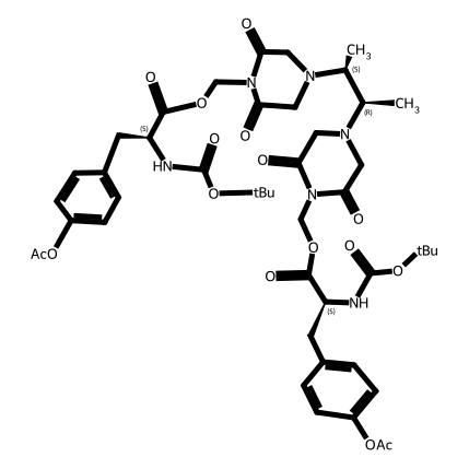 CC(=O)Oc1ccc(C[C@H](NC(=O)OC(C)(C)C)C(=O)OCN2C(=O)CN([C@H](C)[C@H](C)N3CC(=O)N(COC(=O)[C@H](Cc4ccc(OC(C)=O)cc4)NC(=O)OC(C)(C)C)C(=O)C3)CC2=O)cc1